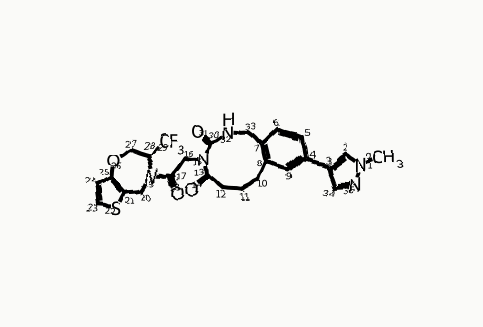 Cn1cc(-c2ccc3c(c2)CCCC(=O)N(CC(=O)N2Cc4sccc4OC[C@H]2C(F)(F)F)C(=O)NC3)cn1